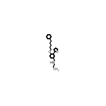 [CH2]CCNCc1ccc(OCCCCCc2ccccc2)c(-c2ccco2)c1